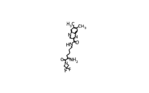 Cc1cc2ncc(C(=O)NCCCC[C@H](N)C(=O)N3CC(F)(F)C3)nc2cc1C